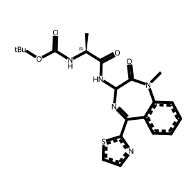 C[C@H](NC(=O)OC(C)(C)C)C(=O)NC1N=C(c2nccs2)c2ccccc2N(C)C1=O